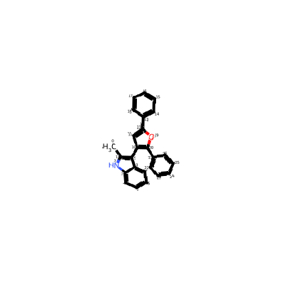 Cc1[nH]c2ccccc2c1-c1cc(-c2ccccc2)oc1-c1ccccc1